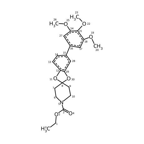 CCOC(=O)N1CCC2(CC1)Oc1ccc(-c3cc(OC)c(OC)c(OC)c3)cc1O2